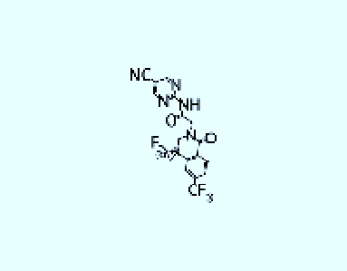 N#Cc1cnc(NC(=O)CN2C[C@]3(C[C@H]3F)c3cc(C(F)(F)F)ccc3C2=O)nc1